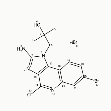 Br.CC(C)(O)Cn1c(N)nc2c(Cl)nc3cc(Br)ccc3c21